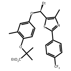 CCOC(=O)C(C)(C)Oc1ccc(O[C@@H](CC)c2sc(-c3ccc(C(F)(F)F)cc3)nc2C)cc1C